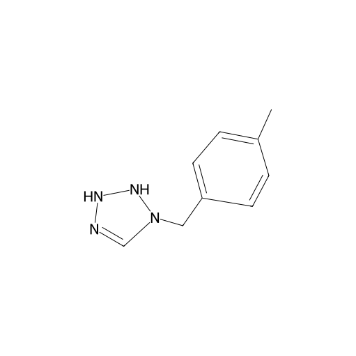 Cc1ccc(CN2C=NNN2)cc1